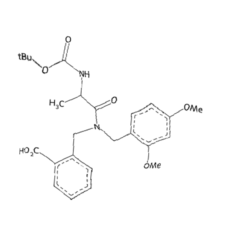 COc1ccc(CN(Cc2ccccc2C(=O)O)C(=O)C(C)NC(=O)OC(C)(C)C)c(OC)c1